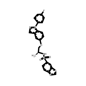 C[C@@H](COc1ccc2c(cnn2-c2ccc(F)cc2)c1)NS(=O)(=O)c1ccc2ncsc2c1